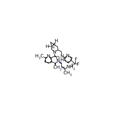 C=C(/N=C\C=C(\C)N)c1ccc(C)nc1C(=O)N1C[C@@H]2C[C@@H]2CC1CNc1ccc(C(F)(F)F)cn1